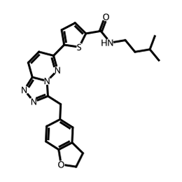 CC(C)CCNC(=O)c1ccc(-c2ccc3nnc(Cc4ccc5c(c4)CCO5)n3n2)s1